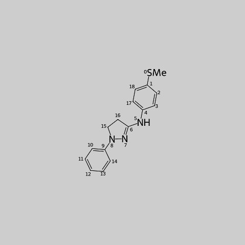 CSc1ccc(NC2=NN(c3ccccc3)CC2)cc1